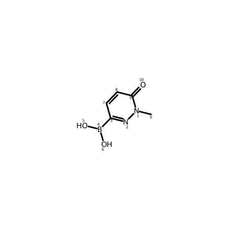 Cn1nc(B(O)O)ccc1=O